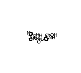 O=C(NCC(=O)N1CCCC1c1cccnc1)NCc1ccc2c(c1)OC[C@@H](O)N2